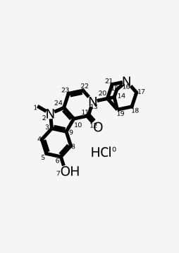 Cl.Cn1c2ccc(O)cc2c2c(=O)n(C3CN4CCC3CC4)ccc21